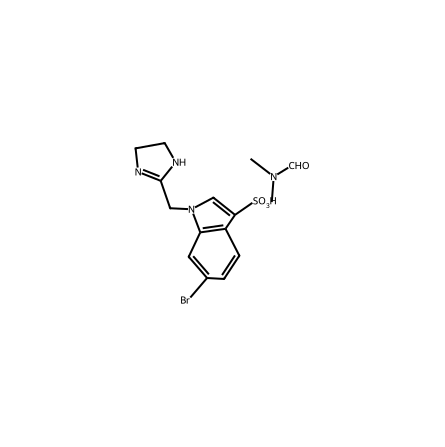 CN(C)C=O.O=S(=O)(O)c1cn(CC2=NCCN2)c2cc(Br)ccc12